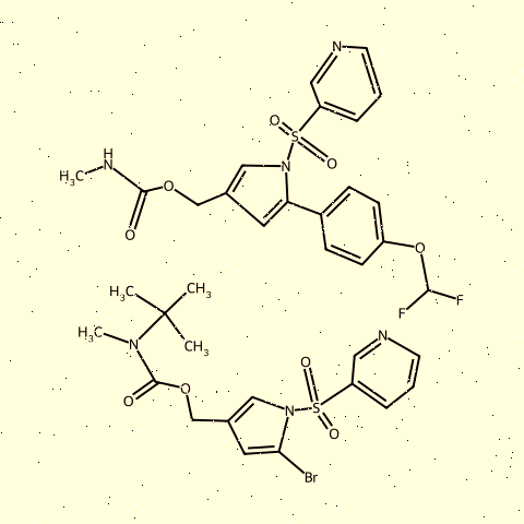 CN(C(=O)OCc1cc(Br)n(S(=O)(=O)c2cccnc2)c1)C(C)(C)C.CNC(=O)OCc1cc(-c2ccc(OC(F)F)cc2)n(S(=O)(=O)c2cccnc2)c1